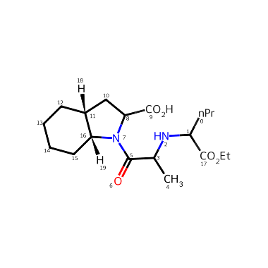 CCCC(NC(C)C(=O)N1C(C(=O)O)C[C@H]2CCCC[C@H]21)C(=O)OCC